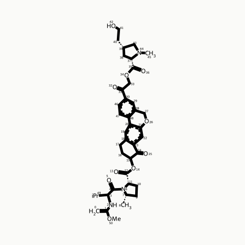 C=C(NC(C(=O)N1[C@@H](C)CC[C@H]1C(=O)OC1CCc2cc3c(cc2C1=O)OCc1cc(C(=O)COC(=O)[C@@H]2C[C@H](CCO)CN2C)ccc1-3)C(C)C)OC